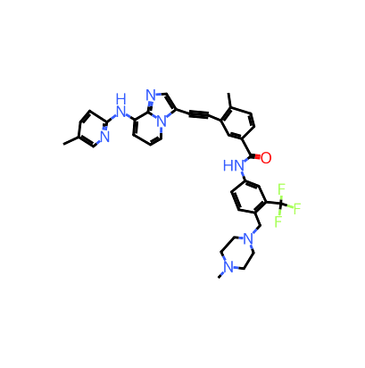 Cc1ccc(Nc2cccn3c(C#Cc4cc(C(=O)Nc5ccc(CN6CCN(C)CC6)c(C(F)(F)F)c5)ccc4C)cnc23)nc1